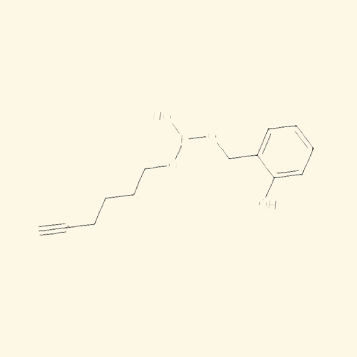 C#CCCCCOP(O)OCc1ccccc1O